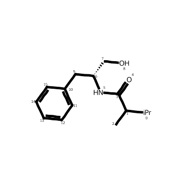 CC(C)C(C)C(=O)N[C@@H](CO)Cc1ccccc1